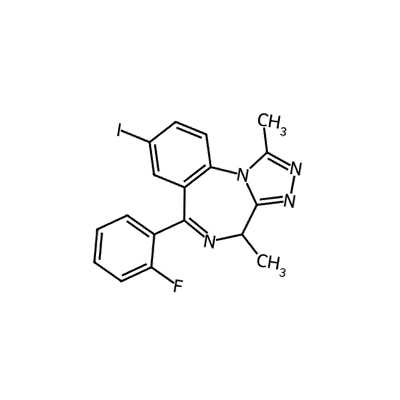 Cc1nnc2n1-c1ccc(I)cc1C(c1ccccc1F)=NC2C